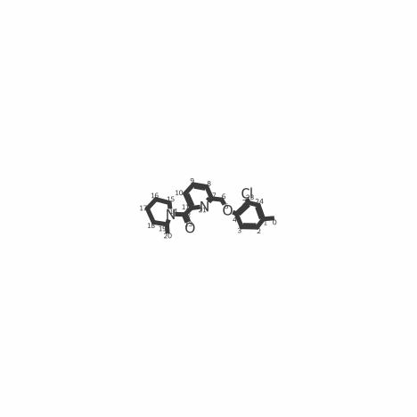 Cc1ccc(OCc2cccc(C(=O)N3CCCCC3C)n2)c(Cl)c1